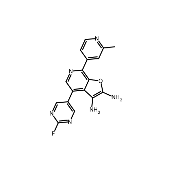 Cc1cc(-c2ncc(-c3cnc(F)nc3)c3c(N)c(N)oc23)ccn1